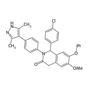 COc1cc2c(cc1OC(C)C)C(c1ccc(Cl)cc1)N(c1ccc(-c3c(C)n[nH]c3C)cc1)C(=O)C2